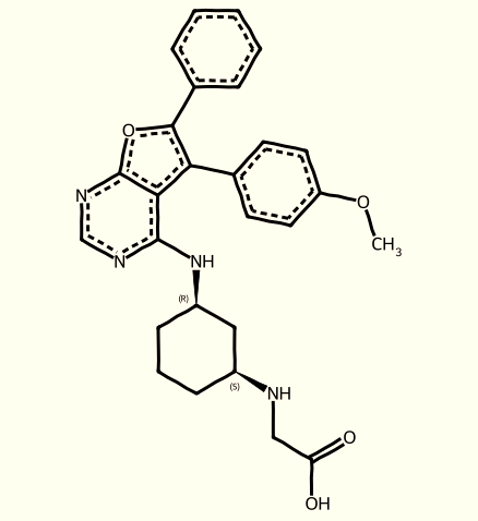 COc1ccc(-c2c(-c3ccccc3)oc3ncnc(N[C@@H]4CCC[C@H](NCC(=O)O)C4)c23)cc1